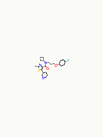 Cc1nc(C(=O)N(CCCOc2ccc(F)cc2)C2CCC2)c(-c2cccnc2)s1